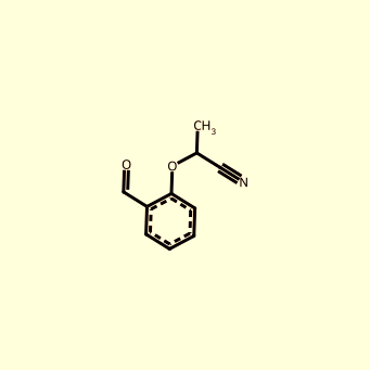 CC(C#N)Oc1ccccc1C=O